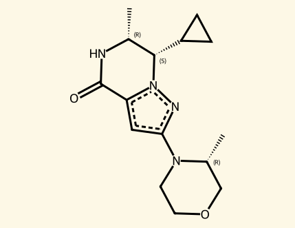 C[C@@H]1COCCN1c1cc2n(n1)[C@@H](C1CC1)[C@@H](C)NC2=O